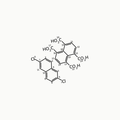 Clc1ccc2cc(Cl)ccc2c1.O=C(O)c1ccc(C(=O)O)c2c(C(=O)O)ccc(C(=O)O)c12